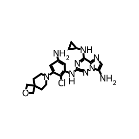 Nc1cc(Nc2nc(NC3CC3)c3ncc(N)n3n2)c(Cl)c(N2CCC3(CC2)COC3)c1